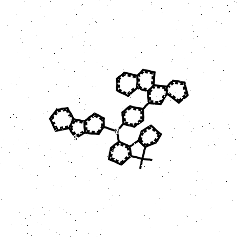 CC1(C)c2ccccc2-c2c(N(c3ccc(-c4cc5ccccc5c5ccc6ccccc6c45)cc3)c3ccc4c(c3)sc3ccccc34)cccc21